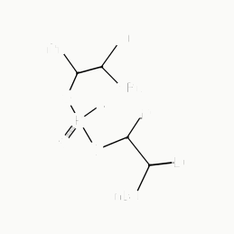 CCCCC(CC)C(OP(=S)(S)OC(C(C)C)C(CC)CCCC)C(C)C